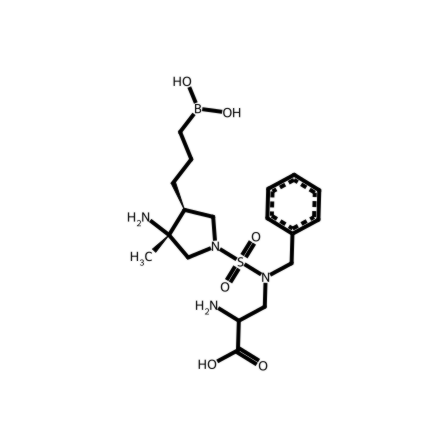 C[C@]1(N)CN(S(=O)(=O)N(Cc2ccccc2)CC(N)C(=O)O)C[C@@H]1CCCB(O)O